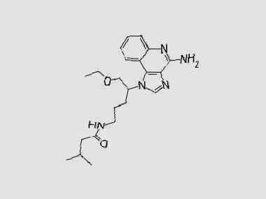 CCOCC(CCCNC(=O)CC(C)C)n1cnc2c(N)nc3ccccc3c21